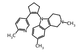 Cc1ccc2c(c1)c1c(n2C2=C(c3ccc(C)nc3)CCC2)CCN(C)C1